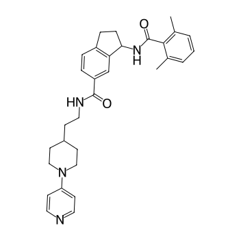 Cc1cccc(C)c1C(=O)NC1CCc2ccc(C(=O)NCCC3CCN(c4ccncc4)CC3)cc21